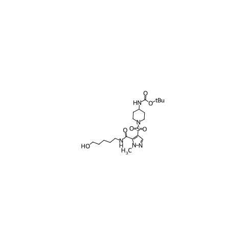 Cn1ncc(S(=O)(=O)N2CCC(NC(=O)OC(C)(C)C)CC2)c1C(=O)NCCCCCO